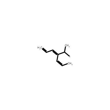 C=C/C=C(\C=C/C)C(C)I